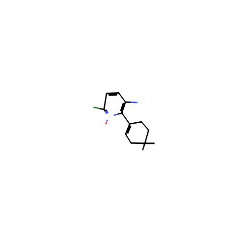 CC1(C)CC=C(c2c(N)ccc(Cl)[n+]2[O-])CC1